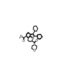 COC(=O)c1ccc2c(C3CCCCC3)c(-c3ccccc3)n3c2c1CCC3C(=O)N1CCOCC1